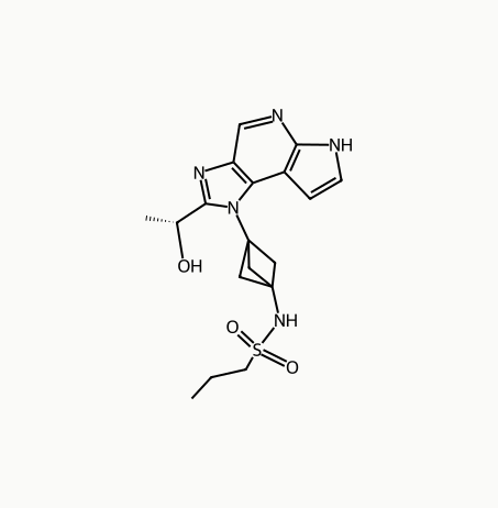 CCCS(=O)(=O)NC12CC(n3c([C@@H](C)O)nc4cnc5[nH]ccc5c43)(C1)C2